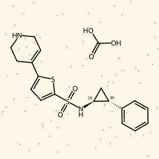 O=C(O)O.O=S(=O)(N[C@H]1C[C@@H]1c1ccccc1)c1ccc(C2=CCNCC2)s1